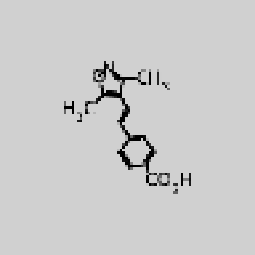 Cc1noc(C)c1/C=C/c1ccc(C(=O)O)cc1